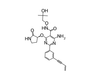 C=CC#Cc1cccc(-c2nc(N)c(C(=O)NOCC(C)(C)O)c(O[C@H]3CCNC3=O)n2)c1